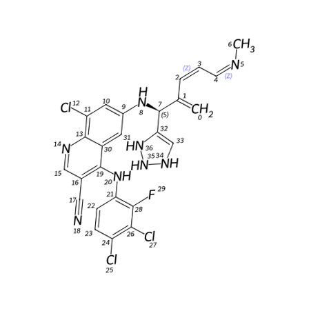 C=C(/C=C\C=N/C)[C@H](Nc1cc(Cl)c2ncc(C#N)c(Nc3ccc(Cl)c(Cl)c3F)c2c1)C1=CNNN1